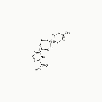 CCCC(=O)c1cccc(N2CCCN(C3CCN(C(C)C)CC3)CC2)n1